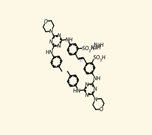 Cc1ccc(Nc2nc(Nc3ccc(/C=C/c4ccc(Nc5nc(Nc6ccc(C)cc6)nc(N6CCOCC6)n5)cc4S(=O)(=O)O)c(S(=O)(=O)O)c3)nc(N3CCOCC3)n2)cc1.[NaH].[NaH]